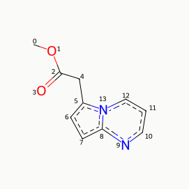 COC(=O)Cc1ccc2ncccn12